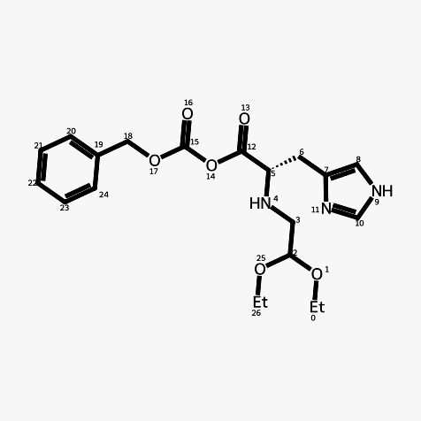 CCOC(CN[C@@H](Cc1c[nH]cn1)C(=O)OC(=O)OCc1ccccc1)OCC